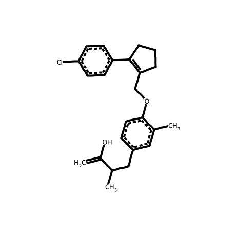 C=C(O)C(C)Cc1ccc(OCC2=C(c3ccc(Cl)cc3)CCC2)c(C)c1